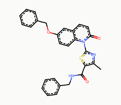 Cc1nc(-n2c(=O)ccc3cc(OCc4ccccc4)ccc32)sc1C(=O)NCc1ccccc1